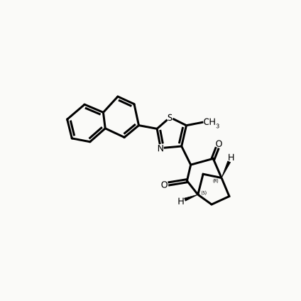 Cc1sc(-c2ccc3ccccc3c2)nc1C1C(=O)[C@@H]2CC[C@@H](C2)C1=O